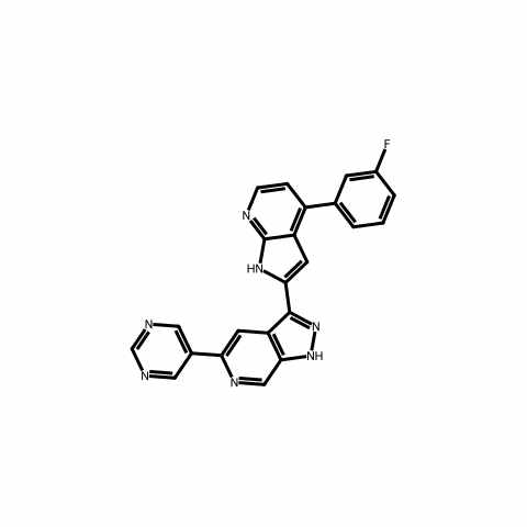 Fc1cccc(-c2ccnc3[nH]c(-c4n[nH]c5cnc(-c6cncnc6)cc45)cc23)c1